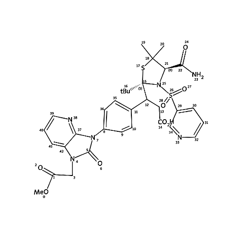 COC(=O)Cn1c(=O)n(-c2ccc(C(CC(=O)O)[C@@]3(C(C)(C)C)SC(C)(C)[C@@H](C(N)=O)N3S(=O)(=O)c3cccnc3)cc2)c2ncccc21